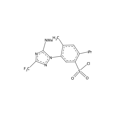 CNc1nc(C(F)(F)F)nn1-c1cc(S(=O)(=O)Cl)c(C(C)C)cc1C